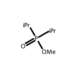 COP(=O)(C(C)C)C(C)C